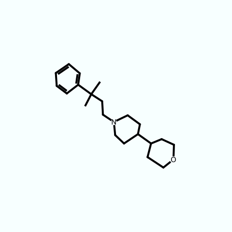 CC(C)(CCN1CCC(C2CCOCC2)CC1)c1ccccc1